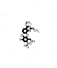 CSc1nc(SC)c2cccc(Oc3c(Cl)c(F)cc(NPI)c3C=N)c2n1